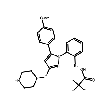 CCc1ccccc1-n1nc(OC2CCNCC2)cc1-c1ccc(OC)cc1.O=C(O)C(F)(F)F